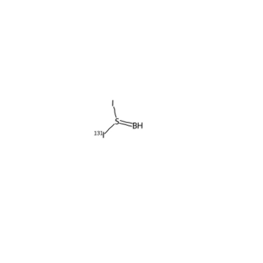 B=S(I)[131I]